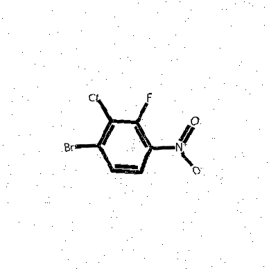 O=[N+]([O-])c1ccc(Br)c(Cl)c1F